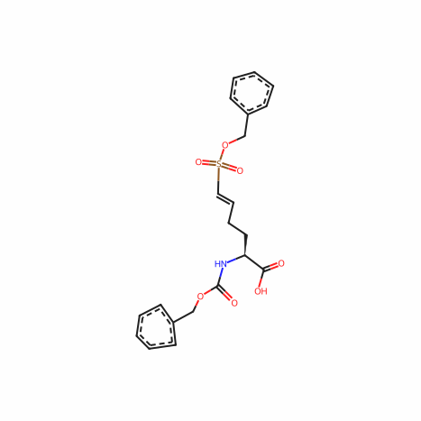 O=C(N[C@@H](CC/C=C/S(=O)(=O)OCc1ccccc1)C(=O)O)OCc1ccccc1